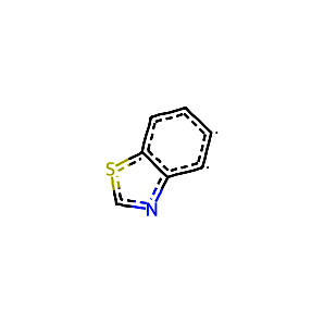 [c]1[c]c2ncsc2cc1